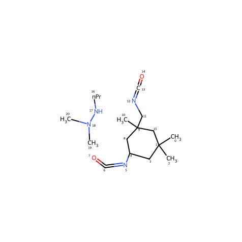 CC1(C)CC(N=C=O)CC(C)(CN=C=O)C1.CCCNN(C)C